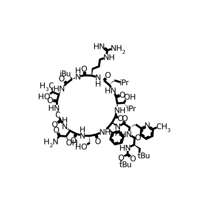 CC[C@H](C)[C@@H]1NC(=O)[C@@H](CCCNC(=N)N)NC(=O)[C@H](CC(C)C)NC(=O)[C@H]([C@H](O)C(C)C)NC(=O)[C@@H](NC(=O)[C@H](Cc2cccc(C)n2)NC(=O)[C@@H](CC(C)(C)C)NC(=O)OC(C)(C)C)[C@@H](c2ccccc2)NC(=O)[C@H](CO)NC(=O)[C@H]([C@H](O)C(N)=O)NC(=O)CNC(=O)[C@H]([C@H](C)O)NC1=O